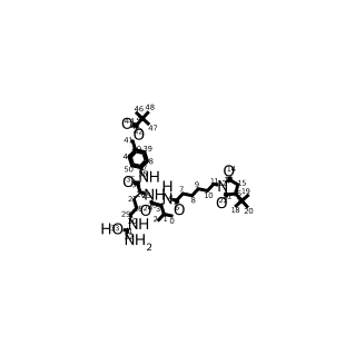 CC(C)[C@H](NC(=O)CCCCCN1C(=O)CC(C(C)(C)C)C1=O)C(=O)N[C@@H](CCCNC(N)O)C(=O)Nc1ccc(COC(=O)C(C)(C)C)cc1